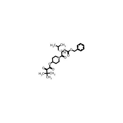 CC(C)C[C@H](NC(=O)OCc1ccccc1)C(=O)N1CCC(OC(=O)C(=O)C(C)(C)C)CC1